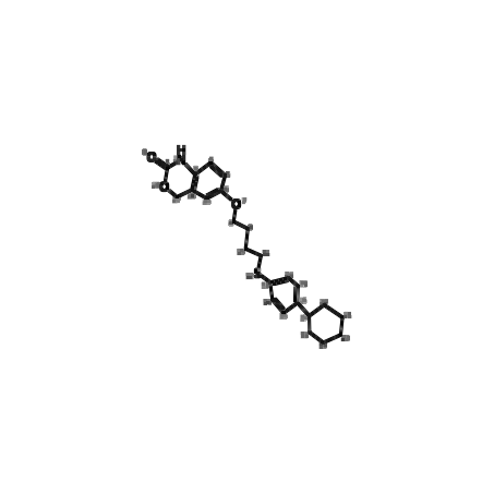 O=C1Nc2ccc(OCCCCSc3ccc(C4CCCCC4)cc3)cc2CO1